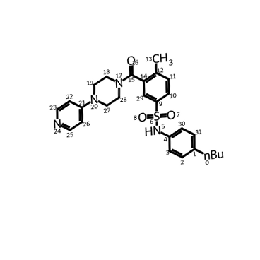 CCCCc1ccc(NS(=O)(=O)c2ccc(C)c(C(=O)N3CCN(c4ccncc4)CC3)c2)cc1